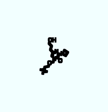 C[Si](C)(C)CCOCn1cc(CCCO)nc(N2CCC2)c1=O